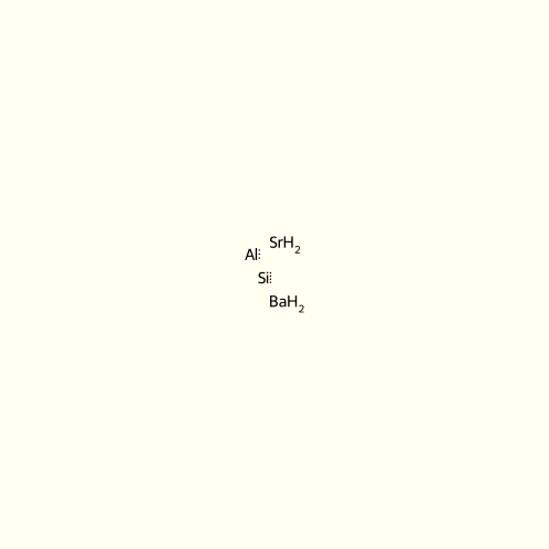 [Al].[BaH2].[Si].[SrH2]